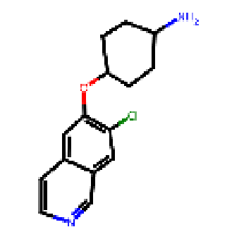 NC1CCC(Oc2cc3ccncc3cc2Cl)CC1